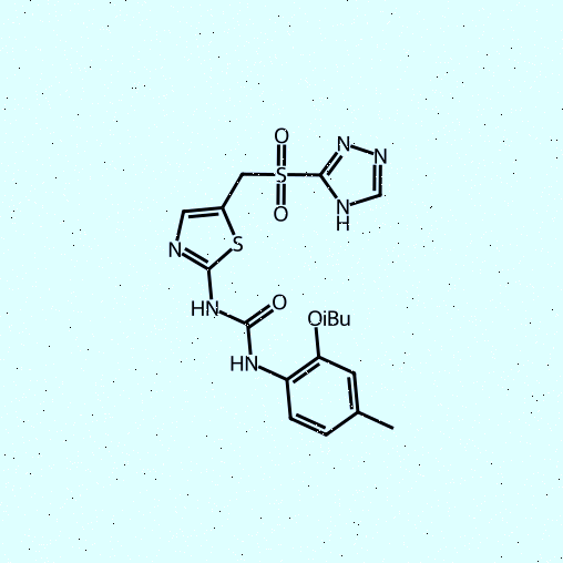 Cc1ccc(NC(=O)Nc2ncc(CS(=O)(=O)c3nnc[nH]3)s2)c(OCC(C)C)c1